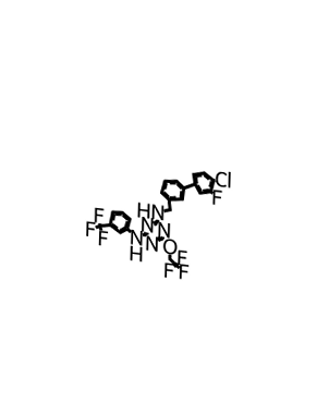 Fc1cc(-c2cccc(CNc3nc(Nc4cccc(C(F)(F)F)c4)nc(OCC(F)(F)F)n3)c2)ccc1Cl